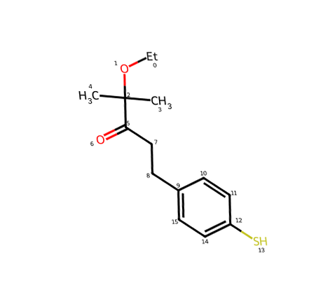 CCOC(C)(C)C(=O)CCc1ccc(S)cc1